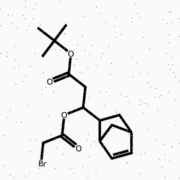 CC(C)(C)OC(=O)CC(OC(=O)CBr)C1CC2C=CC1C2